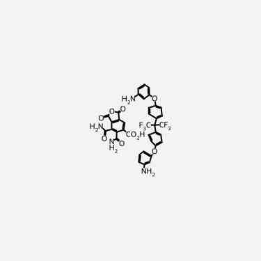 NC(=O)c1c(C(=O)O)cc2c(c1C(N)=O)C(=O)OC2=O.Nc1cccc(Oc2ccc(C(c3ccc(Oc4cccc(N)c4)cc3)(C(F)(F)F)C(F)(F)F)cc2)c1